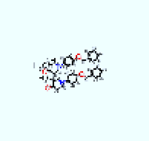 CC1(C)CN(c2ccc(OCc3ccccc3)cc2)CCC1=O.CC1CN(c2ccc(OCc3ccccc3)cc2)CCC1=O